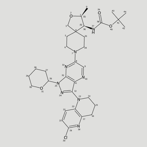 C[C@@H]1OCC2(CCN(c3cnc4c(N5CCCc6nc(Cl)ccc65)nn(C5CCCCO5)c4n3)CC2)[C@@H]1NC(=O)OC(C)(C)C